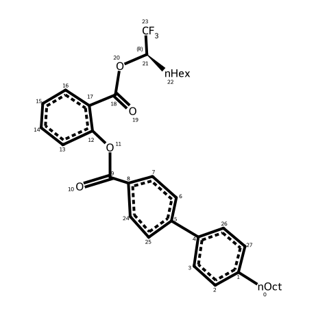 CCCCCCCCc1ccc(-c2ccc(C(=O)Oc3ccccc3C(=O)O[C@H](CCCCCC)C(F)(F)F)cc2)cc1